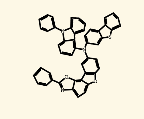 c1ccc(-c2nc3ccc4oc5ccc(N(c6ccc7c(c6)sc6ccccc67)c6cccc7c6c6ccccc6n7-c6ccccc6)cc5c4c3o2)cc1